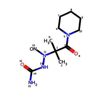 CC(C)(C(=O)N1CCCCC1)N(N=O)NC(N)=O